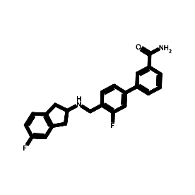 NC(=O)c1cccc(-c2ccc(CNC3Cc4ccc(F)cc4C3)c(F)c2)c1